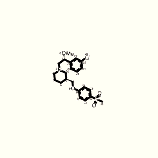 CO[C@@H](CN1CCC[C@H](COc2ccc(S(C)(=O)=O)cc2)C1)c1cccc(Cl)c1